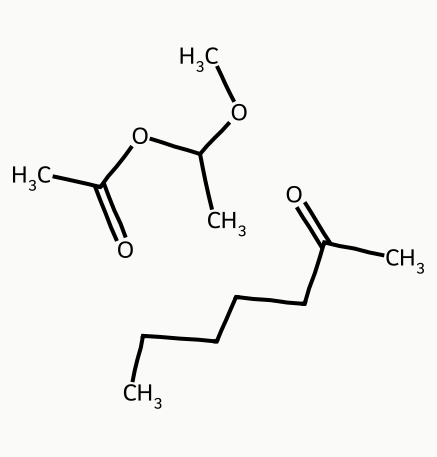 CCCCCC(C)=O.COC(C)OC(C)=O